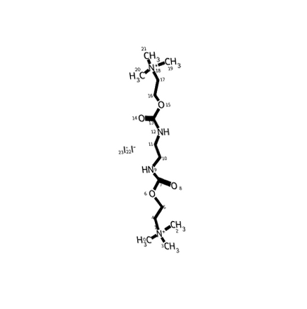 C[N+](C)(C)CCOC(=O)NCCNC(=O)OCC[N+](C)(C)C.[I-].[I-]